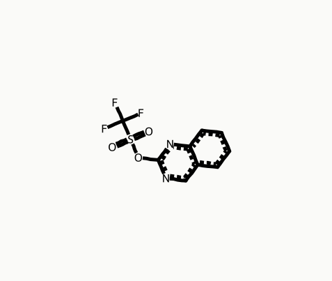 O=S(=O)(Oc1ncc2ccccc2n1)C(F)(F)F